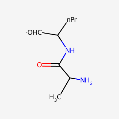 CCCC([C]=O)NC(=O)C(C)N